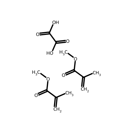 C=C(C)C(=O)OC.C=C(C)C(=O)OC.O=C(O)C(=O)O